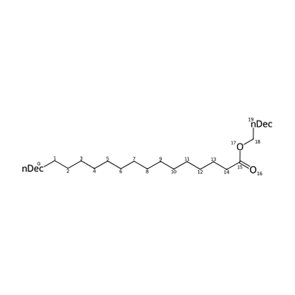 CCCCCCCCCCCCCCCCCCCCCCCCC(=O)OCCCCCCCCCCC